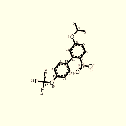 CC(C)Oc1ccc([N+](=O)[O-])c(-c2ccc(OC(F)(F)F)cc2)c1